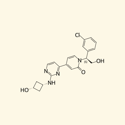 O=c1cc(-c2ccnc(N[C@H]3C[C@@H](O)C3)n2)ccn1[C@H](CO)c1cccc(Cl)c1